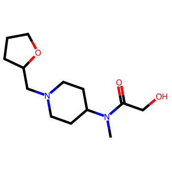 CN(C(=O)CO)C1CCN(CC2CCCO2)CC1